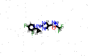 Fc1ccc(C2(Nc3ncc(-c4nnc(C(F)F)o4)cn3)CC2)c(F)c1